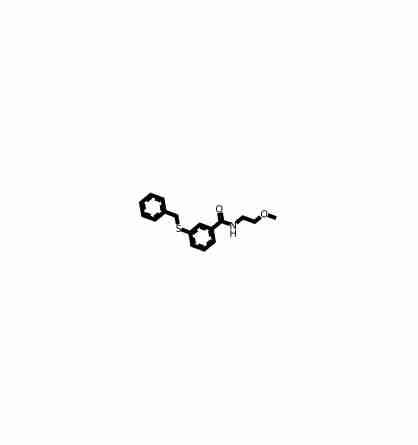 COCCNC(=O)c1cccc(SCc2ccccc2)c1